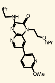 CCCOCCn1c(=O)c(NCC(C)C)nc2ncc(-c3ccc(OC)nc3)cc21